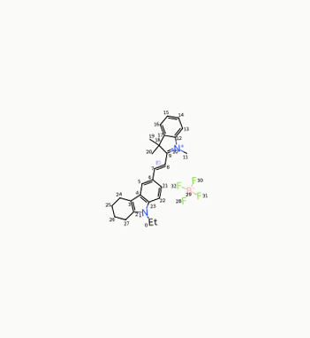 CCn1c2c(c3cc(/C=C/C4=[N+](C)c5ccccc5C4(C)C)ccc31)CCCC2.F[B-](F)(F)F